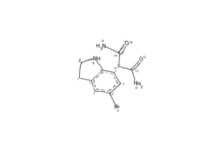 Brc1ccc2c(c1)CCN2.NC(=O)SC(N)=O